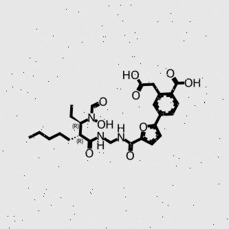 CCCCC[C@@H](C(=O)NCNC(=O)c1ccc(-c2ccc(C(=O)O)c(CC(=O)O)c2)o1)[C@@H](CC)N(O)C=O